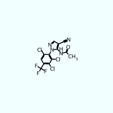 CC(=O)Nc1c(C#N)cnn1-c1c(Cl)cc(C(F)(F)F)c(Cl)c1Cl